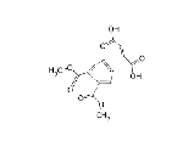 COC(=O)c1ccccc1C(=O)OC.O=C(O)/C=C/C(=O)O